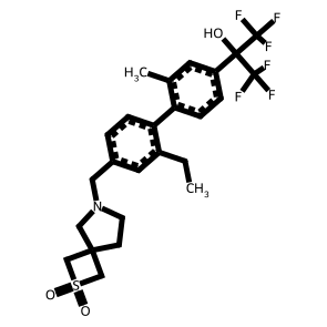 CCc1cc(CN2CCC3(C2)CS(=O)(=O)C3)ccc1-c1ccc(C(O)(C(F)(F)F)C(F)(F)F)cc1C